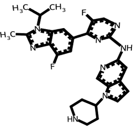 Cc1nc2c(F)cc(-c3nc(Nc4cc5ccn(C6CCNCC6)c5cn4)ncc3F)cc2n1C(C)C